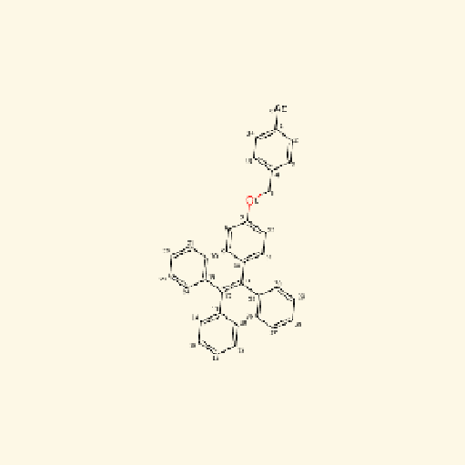 CC(=O)c1ccc(COc2ccc(C(=C(c3ccccc3)c3ccccc3)c3ccccc3)cc2)cc1